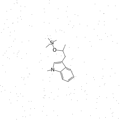 CC(Cc1cn(C)c2ccccc12)O[Si](C)(C)C